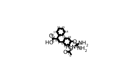 CC(=O)Oc1cc(/C=C(/C(=O)O)c2ccccc2)ccc1OC(N)(N)N